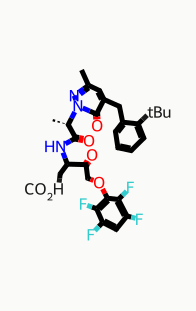 Cc1cc(Cc2ccccc2C(C)(C)C)c(=O)n([C@@H](C)C(=O)NC(CC(=O)O)C(=O)COc2c(F)c(F)cc(F)c2F)n1